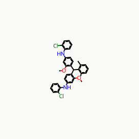 COc1cc(Nc2ccccc2Cl)ccc1C(c1ccc(Nc2ccccc2Cl)cc1OC)c1c(C)cccc1C